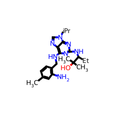 CCC(Nc1nc(NCc2ccc(C)cc2N)c2ncn(C(C)C)c2n1)C(C)(C)O